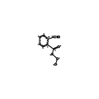 [O]O[N]C(=O)c1ccccc1C=O